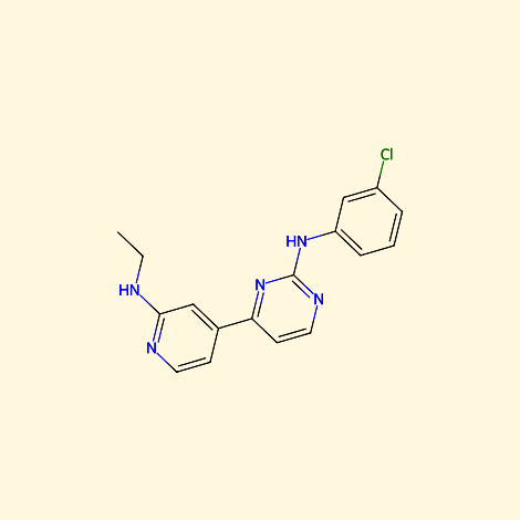 CCNc1cc(-c2ccnc(Nc3cccc(Cl)c3)n2)ccn1